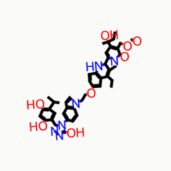 CCC1=C2Cn3c(cc(C(C)(O)CC)c(COC=O)c3=O)C2Nc2ccc(OCCn3ccc4cc(-n5c(O)nnc5-c5cc(C(C)C)c(O)cc5O)ccc43)cc21